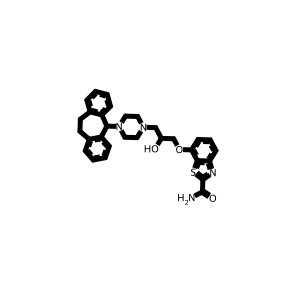 NC(=O)c1nc2cccc(OCC(O)CN3CCN(C4c5ccccc5CCc5ccccc54)CC3)c2s1